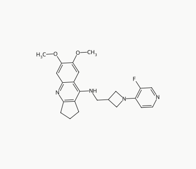 COc1cc2nc3c(c(NCC4CN(c5ccncc5F)C4)c2cc1OC)CCC3